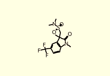 CN1C(=O)C(C)(CS(=O)(=O)N(C)C)c2cc(C(F)(F)F)ccc21